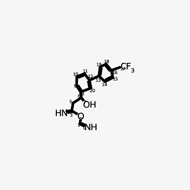 N=COC(=N)CC(O)c1cccc(-c2ccc(C(F)(F)F)cc2)c1